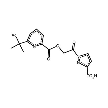 CC(=O)C(C)(C)c1cccc(C(=O)OCC(=O)n2ccc(C(=O)O)n2)n1